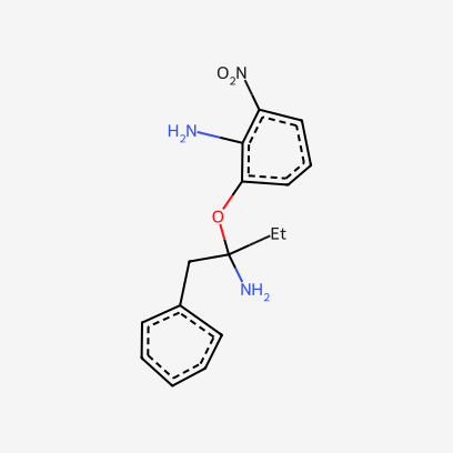 CCC(N)(Cc1ccccc1)Oc1cccc([N+](=O)[O-])c1N